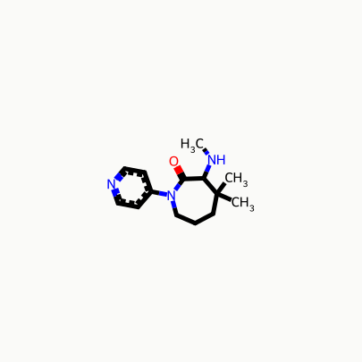 CNC1C(=O)N(c2ccncc2)CCCC1(C)C